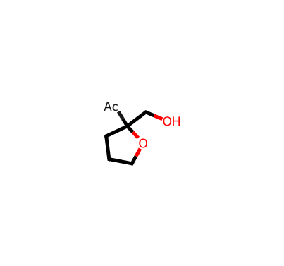 CC(=O)C1(CO)CCCO1